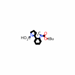 CN(C(=O)OC(C)(C)C)c1ccccc1C1CCCN1C(=O)O